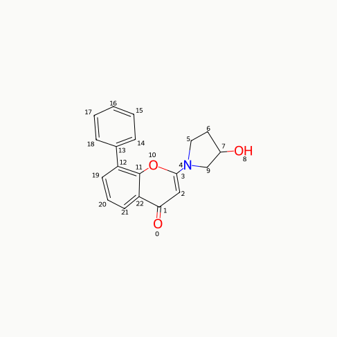 O=c1cc(N2CCC(O)C2)oc2c(-c3ccccc3)cccc12